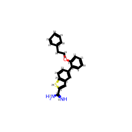 N=C(N)c1cc2cc(-c3ccccc3OCCc3ccccc3)ccc2s1